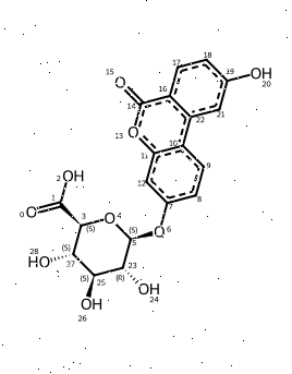 O=C(O)[C@H]1O[C@@H](Oc2ccc3c(c2)oc(=O)c2ccc(O)cc23)[C@H](O)[C@@H](O)[C@@H]1O